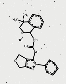 CC1(C)C[C@@H](O)C(NC(=O)Nc2c3c(nn2-c2ccccc2)COC3)c2ccccc21